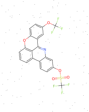 O=S(=O)(Oc1ccc2c(c1)nc1c3c(cccc32)Oc2ccc(OC(F)(F)F)cc2-1)C(F)(F)F